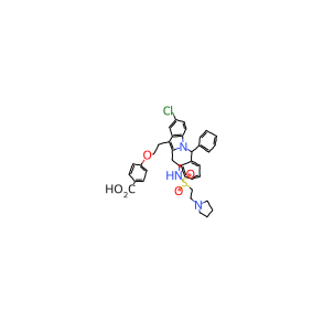 O=C(O)c1ccc(OCCc2c(CCNS(=O)(=O)CCN3CCCC3)n(C(c3ccccc3)c3ccccc3)c3ccc(Cl)cc23)cc1